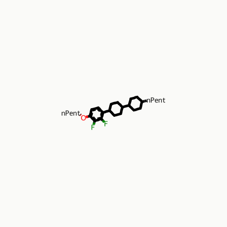 CCCCCOc1ccc(C2CCC(C3CCC(CCCCC)CC3)CC2)c(F)c1F